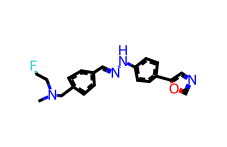 CN(CCF)Cc1ccc(C=NNc2ccc(-c3cnco3)cc2)cc1